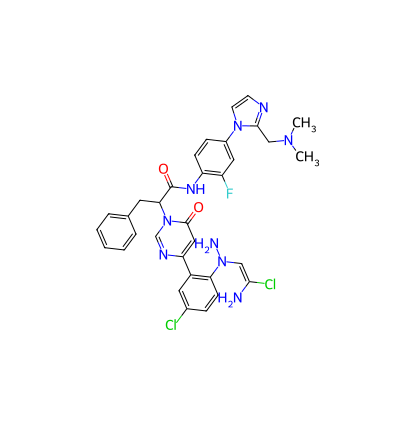 CN(C)Cc1nccn1-c1ccc(NC(=O)C(Cc2ccccc2)n2cnc(-c3cc(Cl)ccc3N(N)/C=C(\N)Cl)cc2=O)c(F)c1